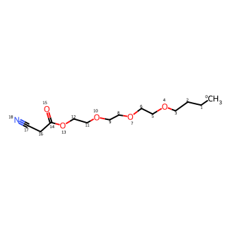 CCCCOCCOCCOCCOC(=O)CC#N